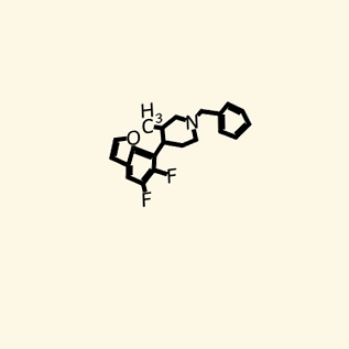 CC1CN(Cc2ccccc2)CCC1c1c(F)c(F)cc2ccoc12